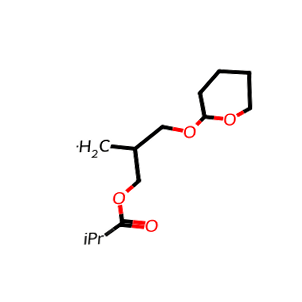 [CH2]C(COC(=O)C(C)C)COC1CCCCO1